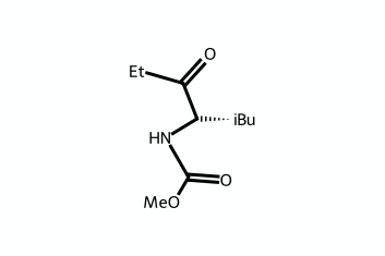 CCC(=O)C(NC(=O)OC)[C@@H](C)CC